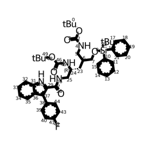 CC(C)(C)OC(=O)NCC(CO[Si](c1ccccc1)(c1ccccc1)C(C)(C)C)C[C@H](CNC(=O)c1[nH]c2ccccc2c1-c1ccc(F)cc1)NC(=O)OC(C)(C)C